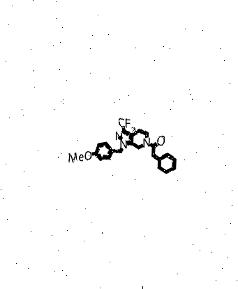 COc1ccc(Cn2nc(C(F)(F)F)c3c2CN(C(=O)CC2CCCCC2)CC3)cc1